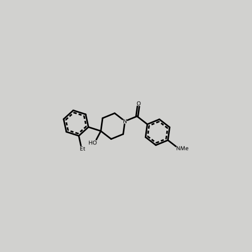 CCc1ccccc1C1(O)CCN(C(=O)c2ccc(NC)cc2)CC1